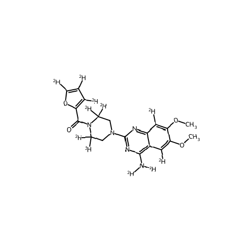 [2H]c1oc(C(=O)N2C([2H])([2H])CN(c3nc(N([2H])[2H])c4c([2H])c(OC)c(OC)c([2H])c4n3)CC2([2H])[2H])c([2H])c1[2H]